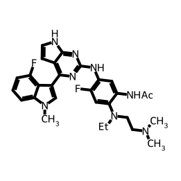 CCN(CCN(C)C)c1cc(F)c(Nc2nc(-c3cn(C)c4cccc(F)c34)c3cc[nH]c3n2)cc1NC(C)=O